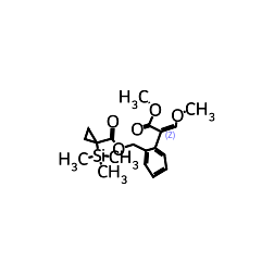 CO/C=C(\C(=O)OC)c1ccccc1COC(=O)C1([Si](C)(C)C)CC1